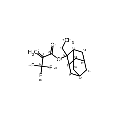 C=C(C(=O)OC1(CC)C2CC3CC(C2)CC1C3)C(F)(F)F